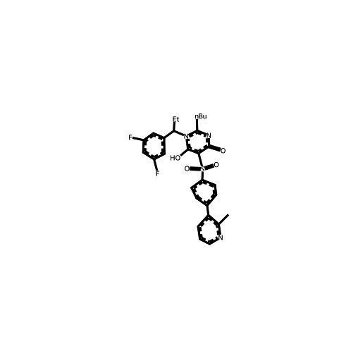 CCCCc1nc(=O)c(S(=O)(=O)c2ccc(-c3cccnc3C)cc2)c(O)n1C(CC)c1cc(F)cc(F)c1